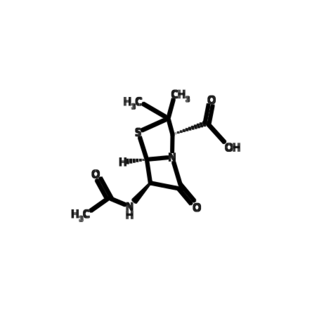 CC(=O)N[C@@H]1C(=O)N2[C@@H]1SC(C)(C)[C@@H]2C(=O)O